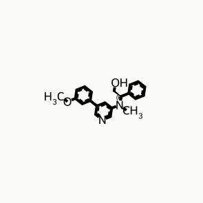 COc1cccc(-c2cncc(N(C)[C@@H](CO)c3ccccc3)c2)c1